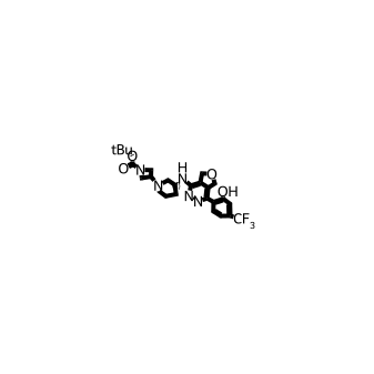 CC(C)(C)OC(=O)N1CC(N2CCC[C@@H](Nc3nnc(-c4ccc(C(F)(F)F)cc4O)c4c3COC4)C2)C1